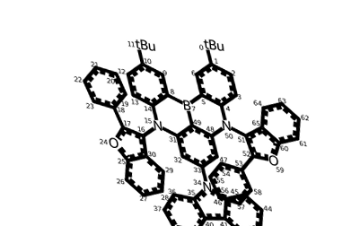 CC(C)(C)c1ccc2c(c1)B1c3cc(C(C)(C)C)ccc3N(c3c(-c4ccccc4)oc4ccccc34)c3cc(-n4c5ccccc5c5ccccc54)cc(c31)N2c1c(-c2ccccc2)oc2ccccc12